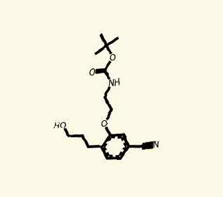 CC(C)(C)OC(=O)NCCOc1cc(C#N)ccc1CCCO